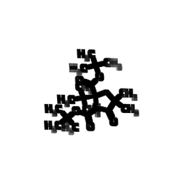 CC(C)(C)OC(=O)N1C(=O)C(C)(C)C[C@]1(C(=O)OC(C)(C)C)C(C)(C)C